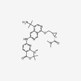 C[C@@H]1c2nc(Nc3cc4c(C(C)(C)N)cnc(OCC5C[C@@H]5C(=O)N(C)C)c4cn3)ccc2C(=O)OC1(C)C